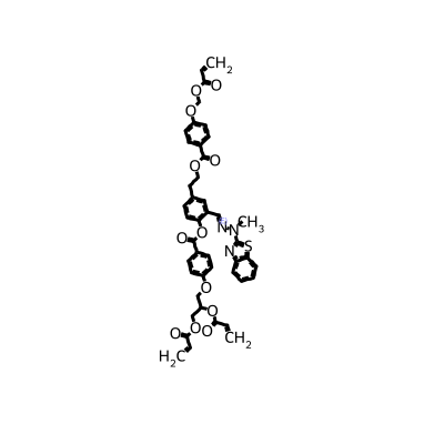 C=CC(=O)OCOc1ccc(C(=O)OCCc2ccc(OC(=O)c3ccc(OCC(COC(=O)C=C)OC(=O)C=C)cc3)c(/C=N/N(C)c3nc4ccccc4s3)c2)cc1